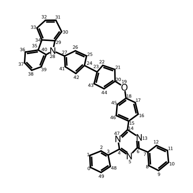 c1ccc(-c2nc(-c3ccccc3)nc(-c3ccc(Oc4ccc(-c5ccc(-n6c7ccccc7c7ccccc76)cc5)cc4)cc3)n2)cc1